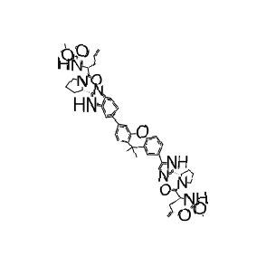 C=CC[C@H](NC(=O)OC)C(=O)N1CCC[C@H]1c1ncc(-c2ccc3c(c2)C(C)(C)c2ccc(-c4ccc5nc([C@@H]6CCCN6C(=O)[C@H](CC=C)NC(=O)OC)[nH]c5c4)cc2O3)[nH]1